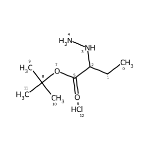 CCC(NN)C(=O)OC(C)(C)C.Cl